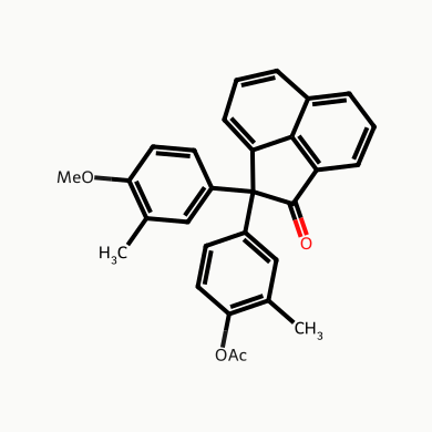 COc1ccc(C2(c3ccc(OC(C)=O)c(C)c3)C(=O)c3cccc4cccc2c34)cc1C